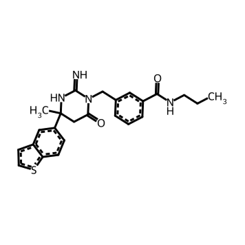 CCCNC(=O)c1cccc(CN2C(=N)NC(C)(c3ccc4sccc4c3)CC2=O)c1